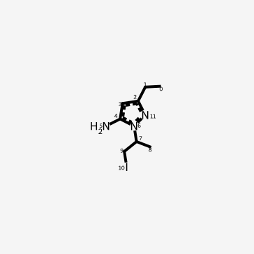 CCc1cc(N)n(C(C)CI)n1